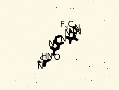 Cc1c(N2CCc3ncc(C(=O)NCc4cncs4)cc3C2)nn2c(C(F)(F)F)nnc2c1C